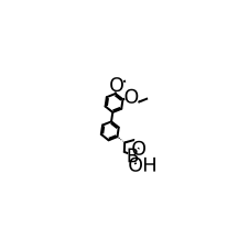 CCOc1cc(-c2cccc([C@@H]3COB(O)C3)c2)ccc1OC